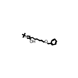 CC(C)(C)N1CC(O)(CCCCCCOCc2ccccc2)C1